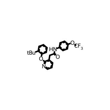 CC(C)(C)c1ccccc1Oc1ncccc1CC(=O)Nc1ccc(OC(F)(F)F)cc1